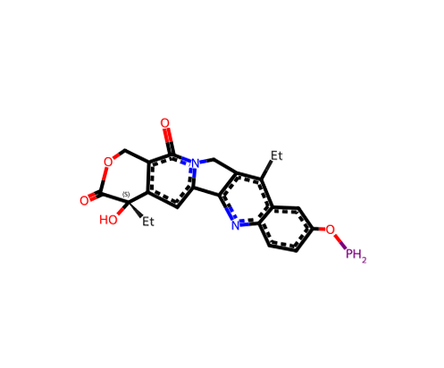 CCc1c2c(nc3ccc(OP)cc13)-c1cc3c(c(=O)n1C2)COC(=O)[C@]3(O)CC